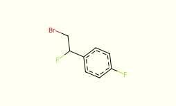 Fc1ccc(C(F)CBr)cc1